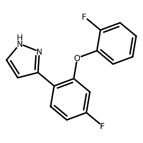 Fc1ccc(-c2cc[nH]n2)c(Oc2ccccc2F)c1